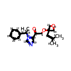 CC(C)=CC1(OCC(=O)c2cncn2[C@H](C)c2ccccc2)COC1